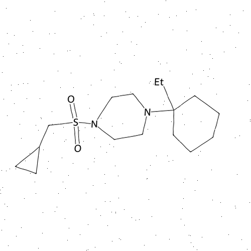 CCC1(N2CCN(S(=O)(=O)CC3CC3)CC2)CCCCC1